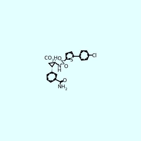 NC(=O)c1cccc([C@@H]2C[C@]2(NS(=O)(=O)c2ccc(-c3ccc(Cl)cc3)s2)C(=O)O)c1